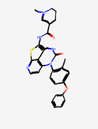 Cc1cc(Oc2ccccc2)ccc1N1C(=O)Nc2c(NC(=O)C3CCCN(C)C3)sc3nccc1c23